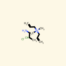 C=CC[N+](C)(C)CC=C.CCCN.Cl.[Cl-]